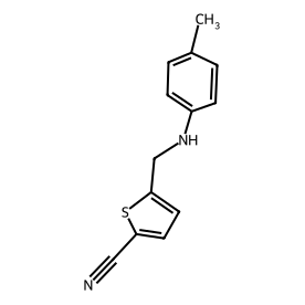 Cc1ccc(NCc2ccc(C#N)s2)cc1